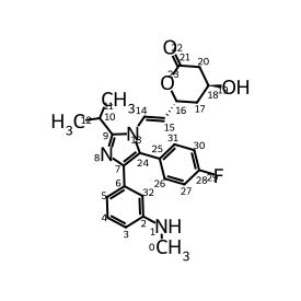 CNc1cccc(-c2nc(C(C)C)n(C=C[C@H]3C[C@H](O)CC(=O)O3)c2-c2ccc(F)cc2)c1